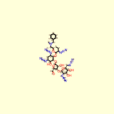 C[C@@H]([C@@H]1CCC(N=[N+]=[N-])[C@@H](OC2C(N=[N+]=[N-])CC(N=[N+]=[N-])[C@H](O)[C@H]2O[C@@H]2O[C@H](C=O)[C@@H](O[C@H]3O[C@@H](CN=[N+]=[N-])[C@@H](O)[C@H](O)C3N=[N+]=[N-])[C@H]2O)O1)N(C)Cc1ccccc1